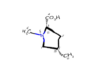 C[C@H]1C[C@@H](C(=O)O)N(C)C1